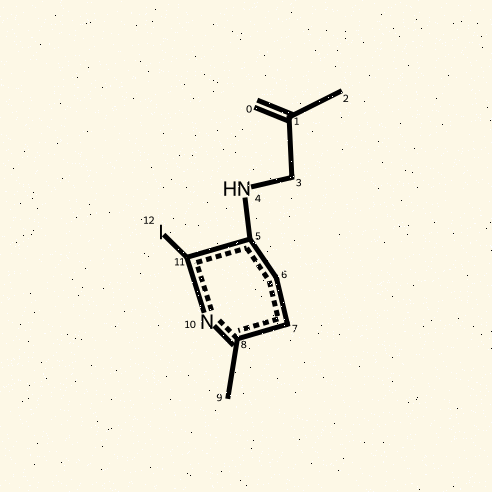 C=C(C)CNc1ccc(C)nc1I